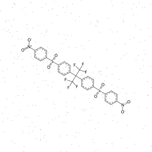 O=[N+]([O-])c1ccc(S(=O)(=O)c2ccc(C(c3ccc(S(=O)(=O)c4ccc([N+](=O)[O-])cc4)cc3)(C(F)(F)F)C(F)(F)F)cc2)cc1